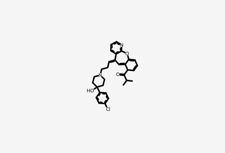 CC(C)C(=O)C1C=CC=C2Oc3ncccc3C(=CCCN3CCC(O)(c4ccc(Cl)cc4)CC3)C=C21